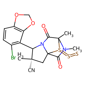 CN1C(=O)C23C[C@](C)(C#N)C(c4c(Br)ccc5c4OCO5)N2C(=O)C1(C)S3=S=S